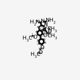 CCOc1cc(Cc2cnc(N)nc2N)cc(OC(C)(OC)C2CC2)c1-c1ccc(OCOC)cc1